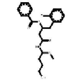 CSC(CCCO)NC(=O)CC(Cc1ccccc1Cl)SC(=O)c1ccccc1